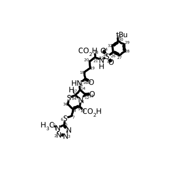 Cn1nnnc1SCC1=C(C(=O)O)N2C(=O)C(NC(=O)CCCC(NS(=O)(=O)c3cccc(C(C)(C)C)c3)C(=O)O)[C@@H]2SC1